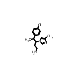 Cc1cn(C(CCN)C(C)c2ccc(Cl)cc2)cn1